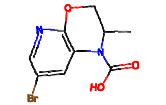 CC1COc2ncc(Br)cc2N1C(=O)O